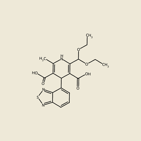 CCOC(OCC)C1=C(C(=O)O)C(c2cccc3nsnc23)C(C(=O)O)=C(C)N1